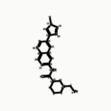 CC(C)CN1CCC[C@@H](C(=O)Nc2cc3cc(-c4cn(C)nn4)cnc3cn2)C1